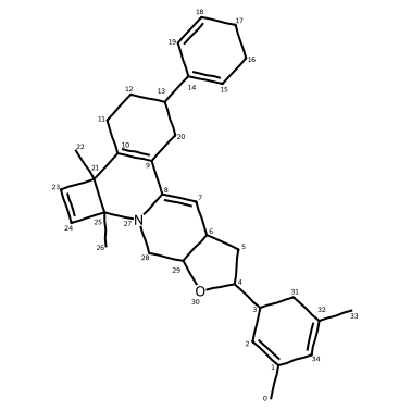 CC1=CC(C2CC3C=C4C5=C(CCC(C6=CCCC=C6)C5)C5(C)C=CC5(C)N4CC3O2)CC(C)=C1